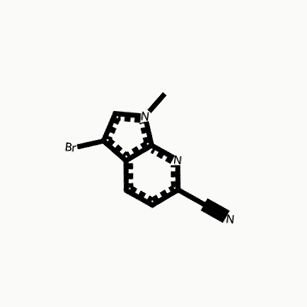 Cn1cc(Br)c2ccc(C#N)nc21